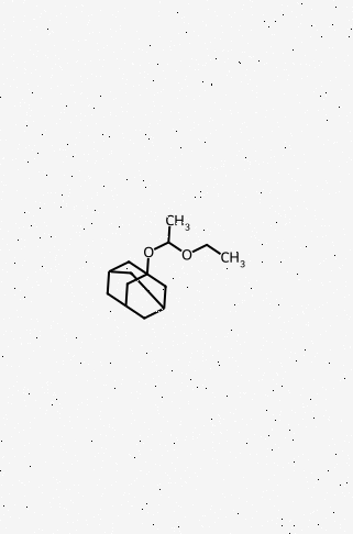 CCOC(C)OC12CC3CC(CC(C3)C1)C2